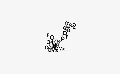 C=CC(=O)N1CCOC[C@@H](S(=O)(=O)c2ccc(N3CC(CN4CCC(C(CNC(=O)OC)(c5cccc(F)c5)[C@H]5CCC[C@@H]5NC(=O)OC)CC4)C3)c(F)c2)C1